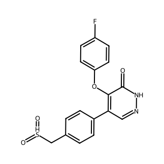 O=c1[nH]ncc(-c2ccc(C[SH](=O)=O)cc2)c1Oc1ccc(F)cc1